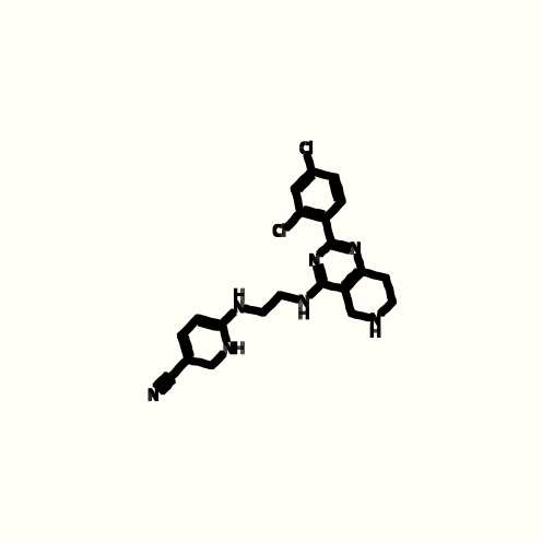 N#CC1=CC=C(NCCNc2nc(-c3ccc(Cl)cc3Cl)nc3c2CNCC3)NC1